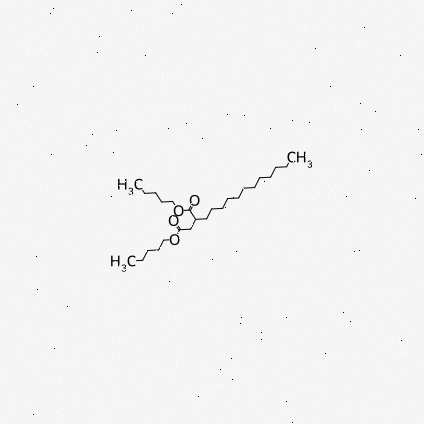 CCCCCCCCCCCCC(CC(=O)OCCCCC)C(=O)OCCCCC